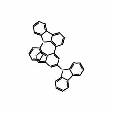 c1ccc(-n2c3ccccc3c3cccc(-c4nc(-n5c6ccccc6c6ccccc65)nc5cocc45)c32)cc1